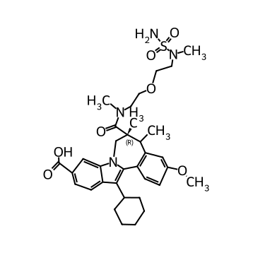 COc1ccc2c(c1)C(C)[C@@](C)(C(=O)N(C)CCOCCN(C)S(N)(=O)=O)Cn1c-2c(C2CCCCC2)c2ccc(C(=O)O)cc21